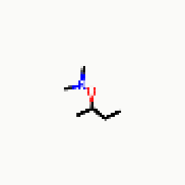 CCC(C)ON(C)C